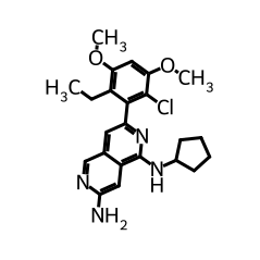 CCc1c(OC)cc(OC)c(Cl)c1-c1cc2cnc(N)cc2c(NC2CCCC2)n1